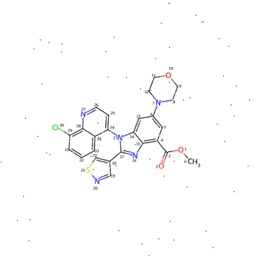 COC(=O)c1cc(N2CCOCC2)cc2c1nc(-c1cnsc1)n2-c1ccnc2c(Cl)cccc12